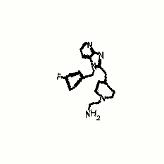 NCCN1CCC(Cc2nc3ncccc3n2Cc2ccc(F)cc2)CC1